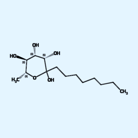 CCCCCCCCC1(O)O[C@H](C)[C@@H](O)[C@H](O)[C@@H]1O